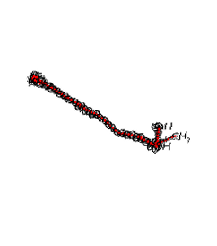 CCCCCCCCCCCN(C(=O)CCCCCCCCCC(=O)O)[C@@H](CCC(=O)NCCOCCOCCOCCOCCOCCOCCOCCOCCOCCOCCOCCOCCOCCOCCOCCOCCOCCOCCOCCOCCOCCOCCOCCOCCC(=O)Oc1c(F)c(F)c(F)c(F)c1F)C(=O)O